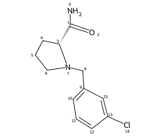 NC(=O)[C@H]1CCCN1Cc1cccc(Cl)c1